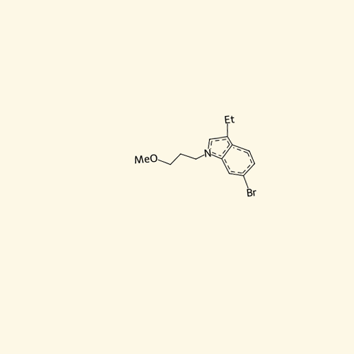 CCc1cn(CCCOC)c2cc(Br)ccc12